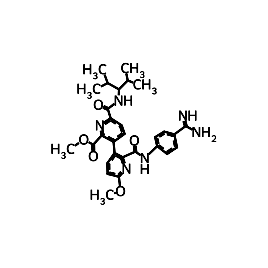 COC(=O)c1nc(C(=O)NC(C(C)C)C(C)C)ccc1-c1ccc(OC)nc1C(=O)Nc1ccc(C(=N)N)cc1